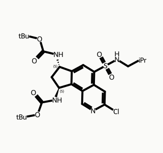 CC(C)CNS(=O)(=O)c1cc2c(c3cnc(Cl)cc13)[C@@H](NC(=O)OC(C)(C)C)C[C@@H]2NC(=O)OC(C)(C)C